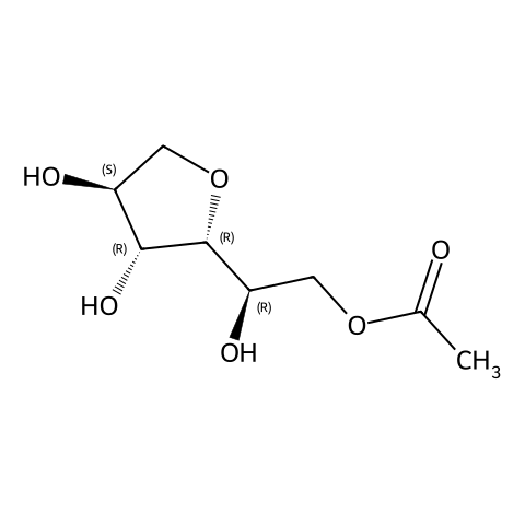 CC(=O)OC[C@@H](O)[C@H]1OC[C@H](O)[C@H]1O